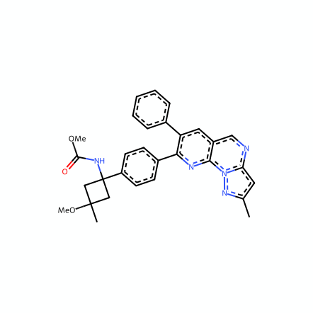 COC(=O)NC1(c2ccc(-c3nc4c(cnc5cc(C)nn54)cc3-c3ccccc3)cc2)CC(C)(OC)C1